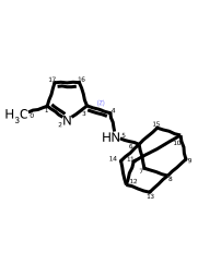 CC1=N/C(=C\NC23CC4CC(CC(C4)C2)C3)C=C1